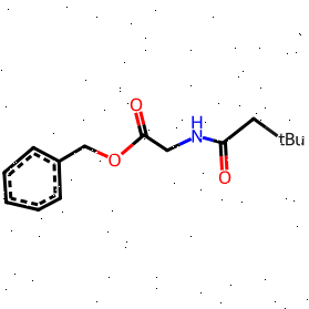 CC(C)(C)CC(=O)NCC(=O)OCc1ccccc1